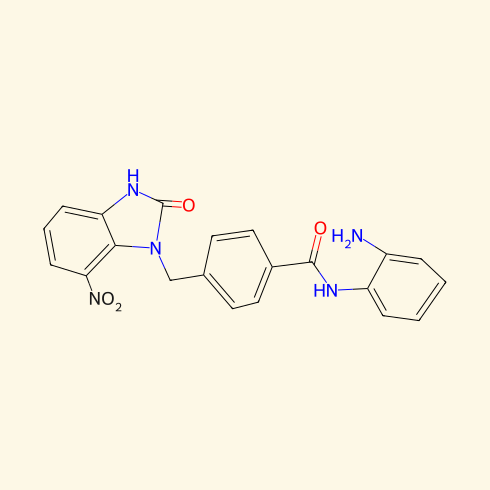 Nc1ccccc1NC(=O)c1ccc(Cn2c(=O)[nH]c3cccc([N+](=O)[O-])c32)cc1